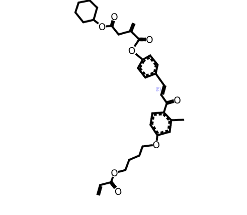 C=CC(=O)OCCCCOc1ccc(C(=O)/C=C/c2ccc(OC(=O)C(=C)CC(=O)OC3CCCCC3)cc2)c(C)c1